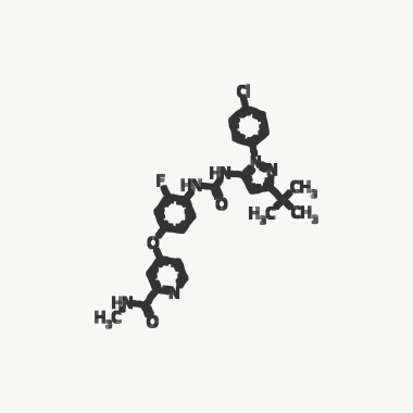 CNC(=O)c1cc(Oc2ccc(NC(=O)Nc3cc(C(C)(C)C)nn3-c3ccc(Cl)cc3)c(F)c2)ccn1